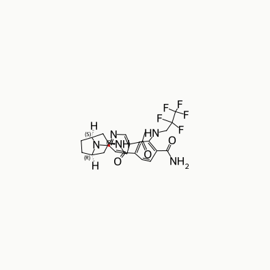 CC(=O)c1ccc(N2[C@@H]3CC[C@H]2C[C@@H](NC(=O)c2ccc(C(N)=O)c(NCC(F)(F)C(F)(F)F)c2)C3)nc1